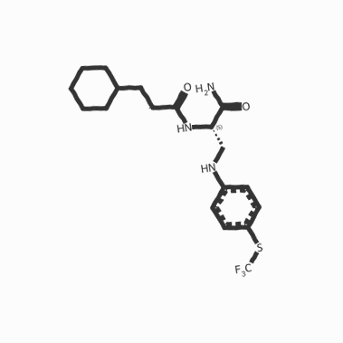 NC(=O)[C@H](CNc1ccc(SC(F)(F)F)cc1)NC(=O)[CH]CC1CCCCC1